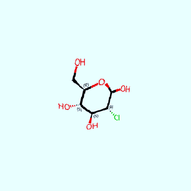 OC[C@H]1OC(O)[C@H](Cl)[C@@H](O)[C@@H]1O